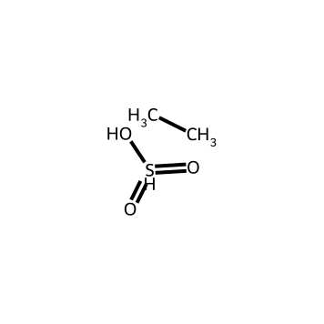 CC.O=[SH](=O)O